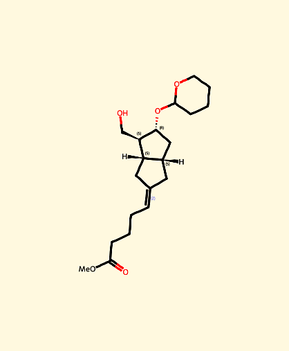 COC(=O)CCC/C=C1/C[C@H]2C[C@@H](OC3CCCCO3)[C@H](CO)[C@H]2C1